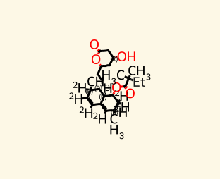 [2H]C1=C([2H])[C@]([2H])(C)[C@H](CCC2C[C@@H](O)CC(=O)O2)[C@@H]2C1=C([2H])[C@]([2H])(C)C([2H])([2H])C2OC(=O)C(C)(C)CC